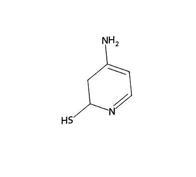 NC1=CC=NC(S)C1